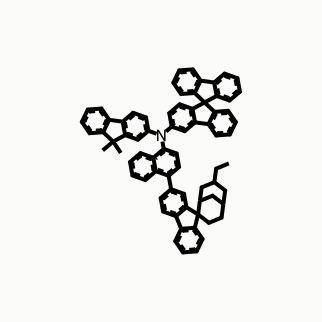 CCC1CC2CCC3(c4ccccc4-c4ccc(-c5ccc(N(c6ccc7c(c6)-c6ccccc6C76c7ccccc7-c7ccccc76)c6ccc7c(c6)C(C)(C)c6ccccc6-7)c6ccccc56)cc43)C(C1)C2